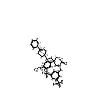 O=C1OCC(CC[N+]23CCC(c4ccccc4)(CC2)CC3)(c2ccc(Cl)c(Cl)c2)CN1Cc1cc(C(F)(F)F)cc(C(F)(F)F)c1.[Cl-]